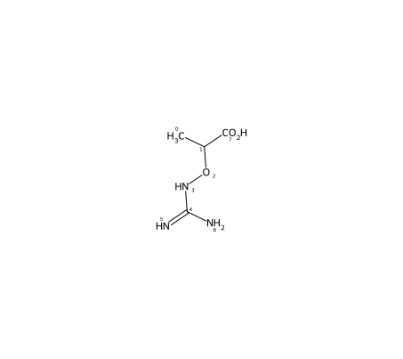 CC(ONC(=N)N)C(=O)O